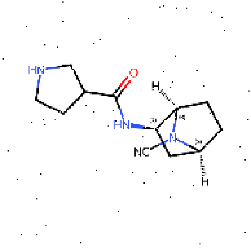 N#CN1[C@H]2CC[C@@H]1[C@H](NC(=O)C1CCNC1)C2